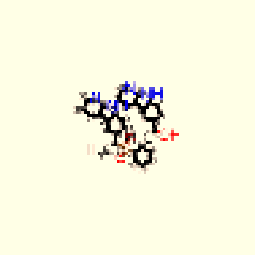 CC(O)c1ccc2[nH]c3ncccc3c2c1.CC(c1ccc2[nH]c3ncccc3c2c1)S(=O)(=O)c1ccccc1